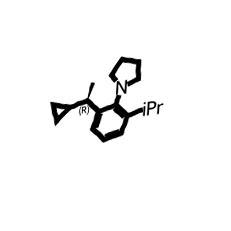 CC(C)c1cccc([C@H](C)C2CC2)c1N1CCCC1